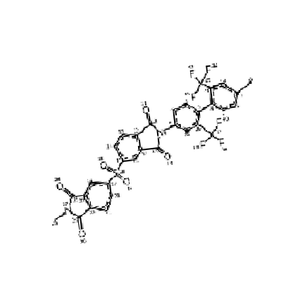 Cc1ccc(-c2ccc(N3C(=O)c4ccc(S(=O)(=O)c5ccc6c(c5)C(=O)N(C)C6=O)cc4C3=O)cc2C(F)(F)F)c(C(F)(F)F)c1